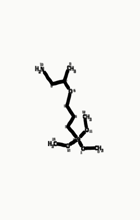 CO[Si](CCCOC(C)CN)(OC)OC